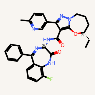 CC[C@H]1CCCn2nc(-c3ccc(C)nc3)c(C(=O)N[C@H]3N=C(c4ccccc4)c4cccc(F)c4NC3=O)c2O1